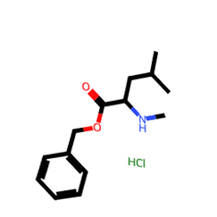 CNC(CC(C)C)C(=O)OCc1ccccc1.Cl